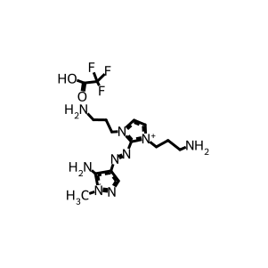 Cn1ncc(/N=N/c2n(CCCN)cc[n+]2CCCN)c1N.O=C(O)C(F)(F)F